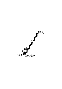 CCCCCCOC(N)(CCCCCOCCCCN)OCCCC